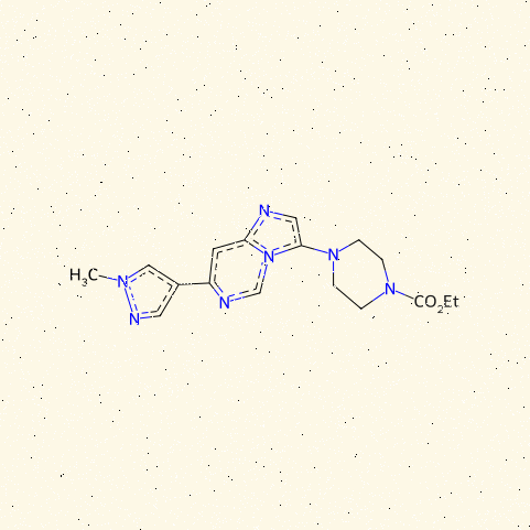 CCOC(=O)N1CCN(c2cnc3cc(-c4cnn(C)c4)ncn23)CC1